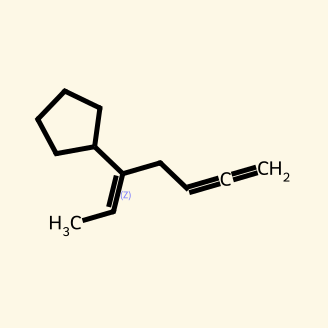 C=C=CC/C(=C/C)C1CCCC1